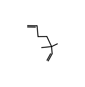 C=CCCC(C)(C)C=C